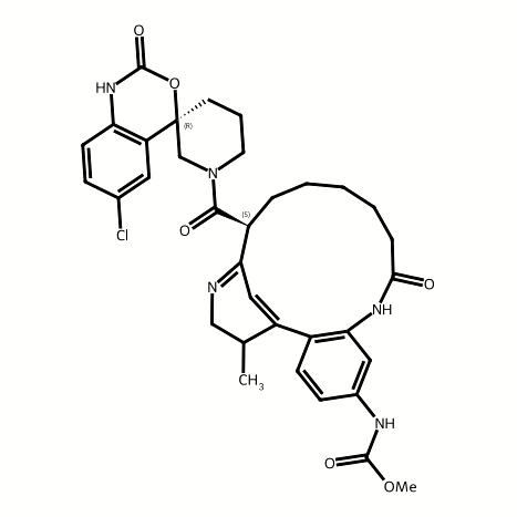 COC(=O)Nc1ccc2c(c1)NC(=O)CCCCC[C@H](C(=O)N1CCC[C@@]3(C1)OC(=O)Nc1ccc(Cl)cc13)C1=NCC(C)C2=C1